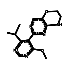 COc1ncnc(C(C)C)c1-c1ncc2c(n1)NCCO2